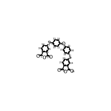 O=C1OC(=O)c2cc(Sc3ccc(Oc4ccc(Sc5ccc6c(c5)C(=O)OC6=O)cc4)cc3)ccc21